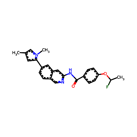 Cc1cc(-c2ccc3cnc(NC(=O)c4ccc(OC(C)F)cc4)cc3c2)n(C)c1